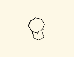 [CH]1[C]2CCCCCC1CCC2